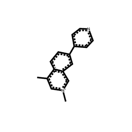 Cc1c[n+](C)cc2cc(-c3ccncc3)ccc12